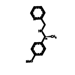 COc1ccc([C@@H](C)NCc2ccccn2)cc1